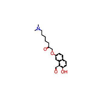 CN(C)CCCCCC(=O)COc1ccc2ccc(O)c(C=O)c2c1